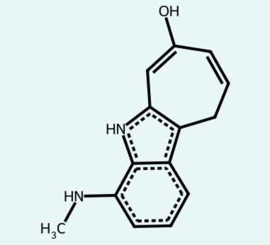 CNc1cccc2c3c([nH]c12)C=C(O)C=CC3